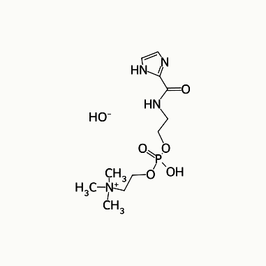 C[N+](C)(C)CCOP(=O)(O)OCCNC(=O)c1ncc[nH]1.[OH-]